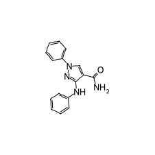 NC(=O)c1cn(-c2ccccc2)nc1Nc1ccccc1